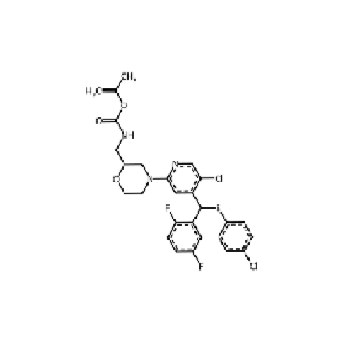 C=C(C)OC(=O)NCC1CN(c2cc(C(Sc3ccc(Cl)cc3)c3cc(F)ccc3F)c(Cl)cn2)CCO1